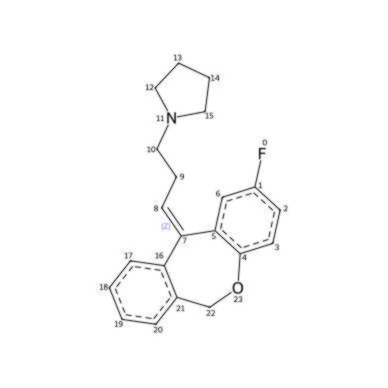 Fc1ccc2c(c1)/C(=C\CCN1CCCC1)c1ccccc1CO2